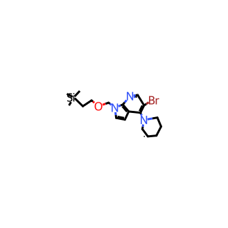 C[Si](C)(C)CCOCn1ccc2c(N3C[CH]CCC3)c(Br)cnc21